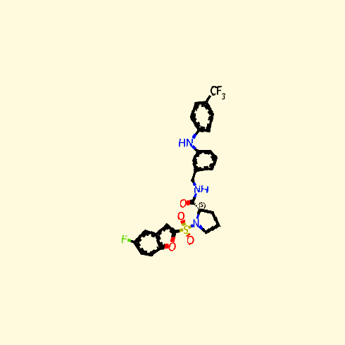 O=C(NCc1cccc(Nc2ccc(C(F)(F)F)cc2)c1)[C@@H]1CCCN1S(=O)(=O)c1cc2cc(F)ccc2o1